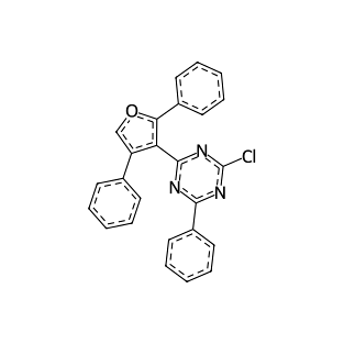 Clc1nc(-c2ccccc2)nc(-c2c(-c3ccccc3)coc2-c2ccccc2)n1